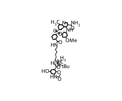 COc1cccc(Nc2c(C(N)=O)cnc3c(C)cc(S(=O)(=O)c4cccc(C(=O)NCCCCCCNCC(O[Si](C)(C)C(C)(C)C)c5cc(O)cc6c5OCC(=O)N6)c4)cc23)c1